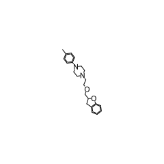 Cc1ccc(N2CCN(CCOCC3Cc4ccccc4O3)CC2)cc1